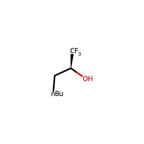 CCCCC[C@H](O)C(F)(F)F